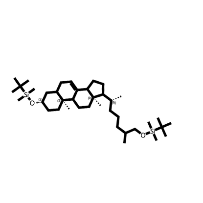 CC(CCC[C@@H](C)C1CCC2C3=CCC4C[C@@H](O[Si](C)(C)C(C)(C)C)CC[C@]4(C)C3CC[C@@]21C)CO[Si](C)(C)C(C)(C)C